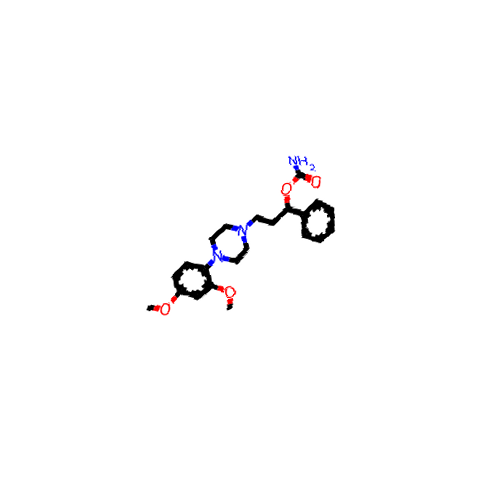 COc1ccc(N2CCN(CCC(OC(N)=O)c3ccccc3)CC2)c(OC)c1